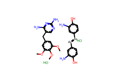 COc1cc(Cc2cnc(N)nc2N)cc(OC)c1OC.Cl.Cl.Nc1cc(/[As]=[As]/c2ccc(O)c(N)c2)ccc1O